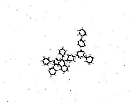 c1ccc(-c2ccc(-c3cc(-c4ccc(-c5c(-c6ccccc6)n6nc(-c7ccccc7)c(-c7ccccc7)c6c6ccccc56)cc4)nc(-c4ccccc4)n3)cc2)cc1